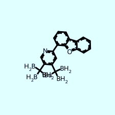 BC(B)(B)c1cnc(-c2cccc3c2oc2ccccc23)cc1C(B)(B)C(C)(C)C